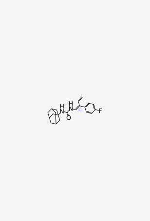 C=C/C(=C\NC(=O)NC12CC3CC(CC(C3)C1)C2)c1ccc(F)cc1